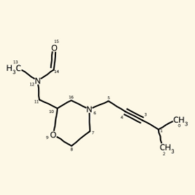 CC(C)C#CCN1CCOC(CN(C)C=O)C1